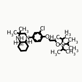 CC(C)[Si](OCCOc1ccc(N2CC(C)(C)N[C@@H]3CCCC[C@@H]32)cc1Cl)(C(C)C)C(C)C